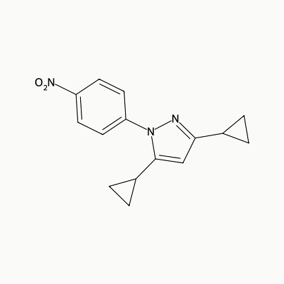 O=[N+]([O-])c1ccc(-n2nc(C3CC3)cc2C2CC2)cc1